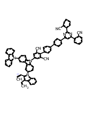 C=Cc1c(/C=C\C)n(-c2ccc3c(c2)c2cc(-n4c5ccccc5c5ccccc54)ccc2n3-c2cc(C#N)c(-c3ccc(-c4ccc(-c5cc(-c6ccccc6C#N)nc(-c6ccccc6C#N)n5)cc4)cc3)c(C#N)c2)c2ccccc12